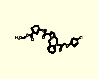 CCOC(=O)c1cccc(NC(=O)c2ccc3n2Cc2ccccc2N(C(=O)COc2ccc(Cl)cc2)C3)c1